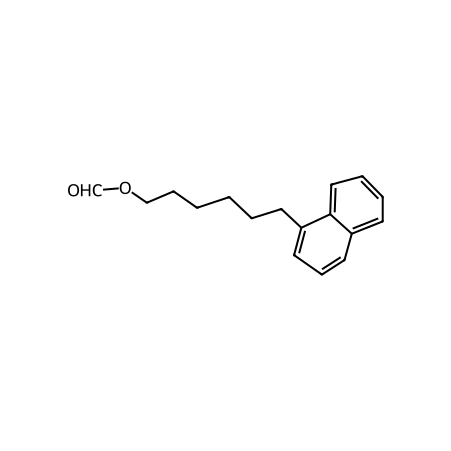 O=COCCCCCCc1cccc2ccccc12